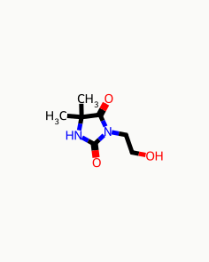 CC1(C)NC(=O)N(CCO)C1=O